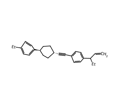 C=CC(CC)c1ccc(C#C[C@H]2CC[C@H](c3ccc(CC)cc3)CC2)cc1